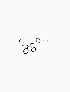 N[C@H]1CC[C@H](NCCC(c2cccc(F)c2)c2cn(CC3CCCCC3)c3ccccc23)CC1